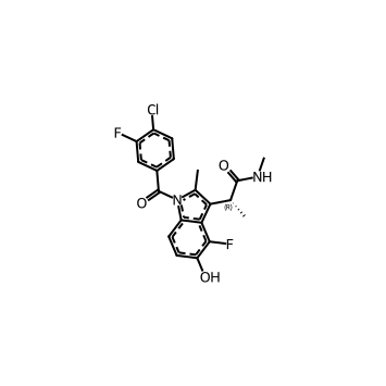 CNC(=O)[C@H](C)c1c(C)n(C(=O)c2ccc(Cl)c(F)c2)c2ccc(O)c(F)c12